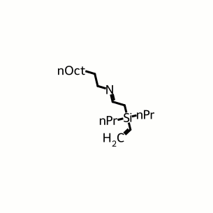 C=C[Si](CC=NCCCCCCCCCC)(CCC)CCC